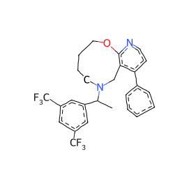 CC(c1cc(C(F)(F)F)cc(C(F)(F)F)c1)N1CCCCOc2nccc(-c3ccccc3)c2C1